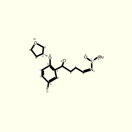 CC(C)(C)[S+]([O-])/N=C\CCC(Cl)c1cc(F)ccc1O[C@@H]1CCOC1